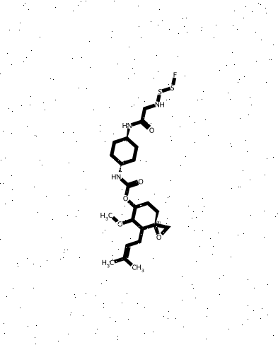 COC1C(OC(=O)N[C@H]2CC[C@H](NC(=O)CNSSF)CC2)CC[C@]2(CO2)C1CC=C(C)C